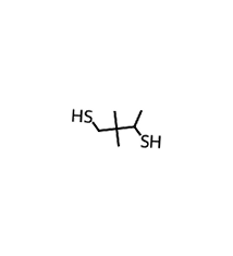 CC(S)C(C)(C)CS